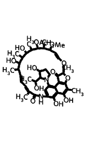 COC1/C=C/OC2(C)Oc3c(C)c(O)c4c(O)c(cc(N5CCC(O)C5C(C)O)c4c3C2=O)NC(=O)/C(C)=C/C=C/C(C)C(O)C(C)C(O)C(C)C(OC(C)=O)C1C